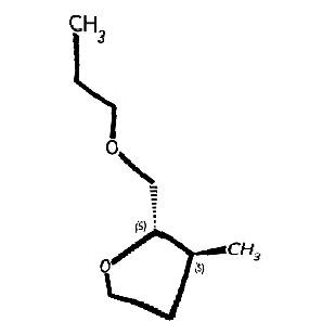 CCCOC[C@H]1OCC[C@@H]1C